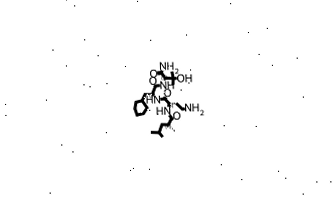 CC(C)C[C@@H](C)C(=O)N[C@@H](CCN)C(=O)N[C@@H](CC1CCCCC1)C(=O)N[C@H](C(N)=O)C(C)(C)O